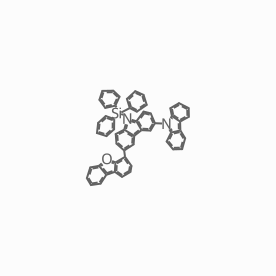 c1ccc([Si](c2ccccc2)(c2ccccc2)n2c3ccc(-c4cccc5c4oc4ccccc45)cc3c3cc(-n4c5ccccc5c5ccccc54)ccc32)cc1